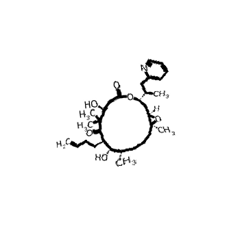 C=CCC[C@H]1C(=O)C(C)(C)[C@@H](O)CC(=O)O[C@H](C(C)Cc2ccccn2)C[C@H]2O[C@@]2(C)CCC[C@H](C)[C@@H]1O